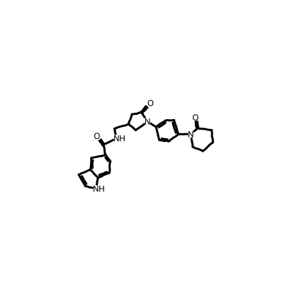 O=C(NCC1CC(=O)N(c2ccc(N3CCCCC3=O)cc2)C1)c1ccc2[nH]ccc2c1